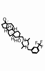 CC1CN(C[C@@]2(O)CC[C@@]3(C)[C@@H](CC[C@@H]4[C@@H]3CC[C@]3(C)C(=O)CC[C@@H]43)C2)C(C)CN1Cc1cccc(C(F)(F)F)c1